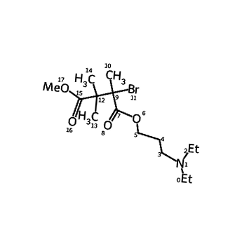 CCN(CC)CCCOC(=O)C(C)(Br)C(C)(C)C(=O)OC